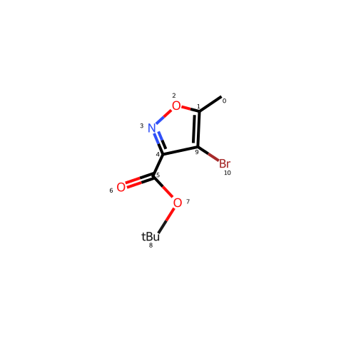 Cc1onc(C(=O)OC(C)(C)C)c1Br